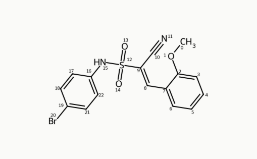 COc1ccccc1/C=C(\C#N)S(=O)(=O)Nc1ccc(Br)cc1